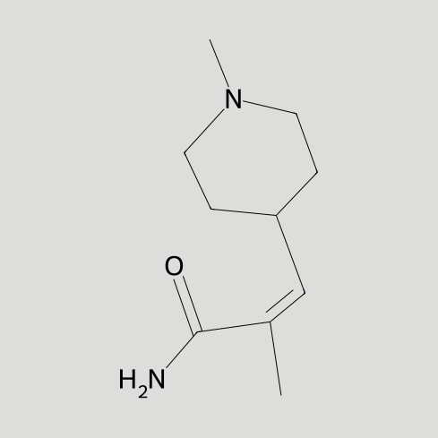 CC(=CC1CCN(C)CC1)C(N)=O